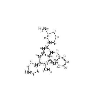 Cn1c(N2CCNCC2)nc2nc(N3CCCC(N)C3)n(Cc3ccccc3)c2c1=O